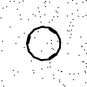 [C]1=CCCCC=CCCC=CCC1